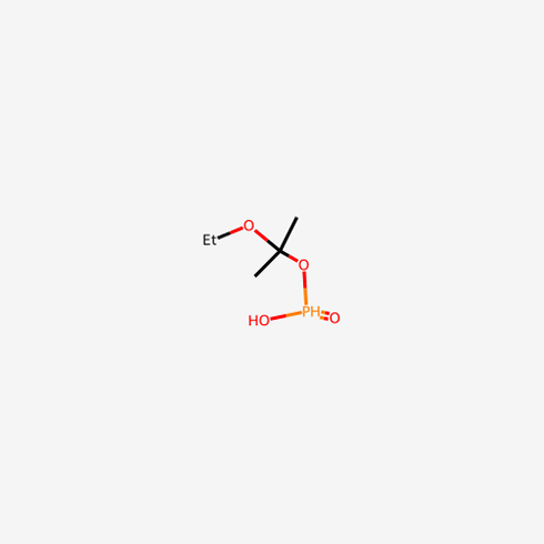 CCOC(C)(C)O[PH](=O)O